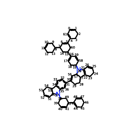 C1=CCCC(C2=CC(C3CC=CCC3)CC(C3=CCC(N4C5=C(CCC=C5)C5CCC(c6ccc7c(c6)N(C6CC=CC(C8=CCCC=C8)C6)C6C=CCCC76)=CC54)C=C3)C2)=C1